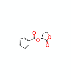 O=C(OC1CCOC1=O)c1ccccc1